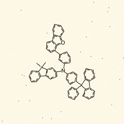 CC1(C)c2ccccc2-c2ccc(N(c3ccc(C4(c5ccccc5)c5ccccc5-c5ccccc54)cc3)c3cccc(-c4cccc5c4oc4ccccc45)c3)cc21